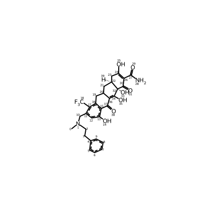 CN(CCc1ccccc1)Cc1cc(O)c2c(c1C(F)(F)F)CC1C[C@H]3CC(O)=C(C(N)=O)C(=O)[C@@]3(O)C(O)=C1C2=O